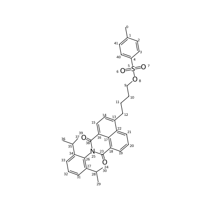 Cc1ccc(S(=O)(=O)OCCCCc2ccc3c4c(cccc24)C(=O)N(c2c(C(C)C)cccc2C(C)C)C3=O)cc1